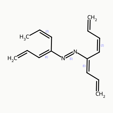 C=C\C=C/C(=C\C=C)/N=N/C(/C=C\C)=C/C=C